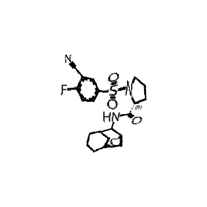 N#Cc1cc(S(=O)(=O)N2CCC[C@@H]2C(=O)NC2C3CCCC4(C3)CC2C4)ccc1F